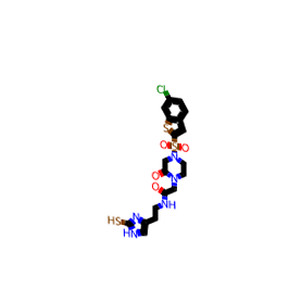 O=C(CN1CCN(S(=O)(=O)c2cc3ccc(Cl)cc3s2)CC1=O)NCCc1c[nH]c(S)n1